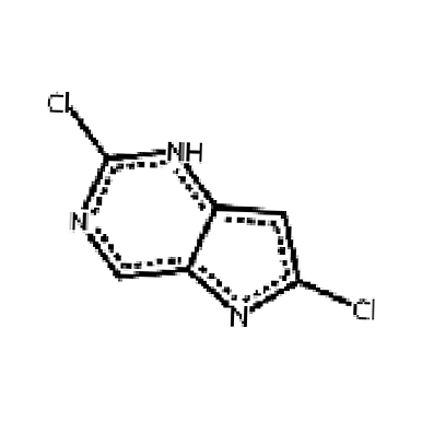 Clc1cc2[nH]c(Cl)ncc-2n1